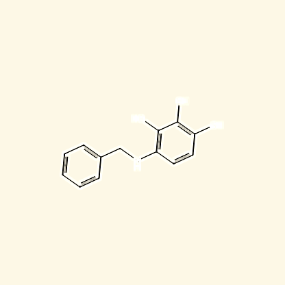 Oc1ccc(NCc2ccccc2)c(O)c1O